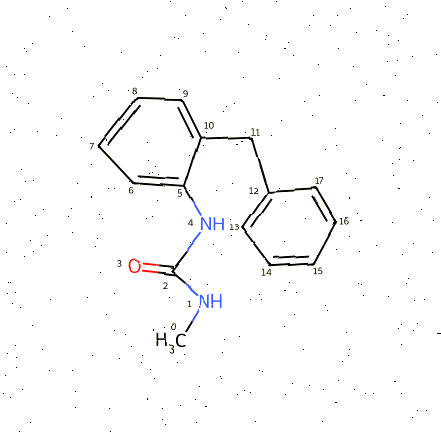 CNC(=O)Nc1ccccc1Cc1ccccc1